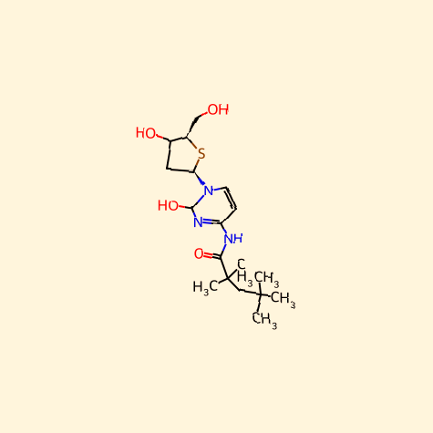 CC(C)(C)CC(C)(C)C(=O)NC1=NC(O)N([C@H]2CC(O)[C@@H](CO)S2)C=C1